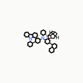 c1ccc(-n2c3ccccc3c3ccccc32)c(-c2ccc(N(c3ccc(-c4cccc5ccccc45)cc3)c3ccccc3[C@]34CC5C[C@@H]6CC(C3)[C@H]6C54)cc2)c1